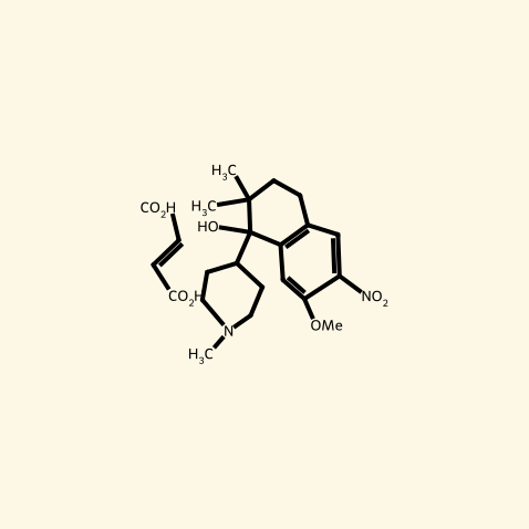 COc1cc2c(cc1[N+](=O)[O-])CCC(C)(C)C2(O)C1CCN(C)CC1.O=C(O)/C=C/C(=O)O